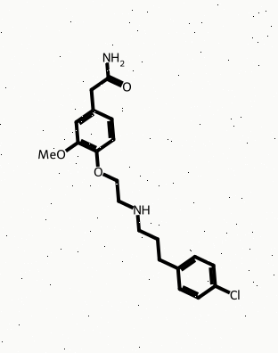 COc1cc(CC(N)=O)ccc1OCCNCCCc1ccc(Cl)cc1